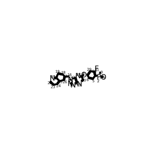 CP(C)(=O)c1ccc(Oc2cnc3nnn(Cc4ccc5ncccc5c4)c3n2)cc1F